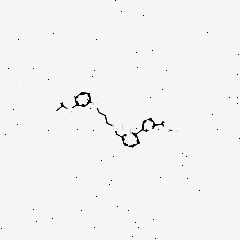 CC(=O)Nc1cccc(OCCCNCc2cccc(-c3ccc(C(=O)NO)s3)n2)c1